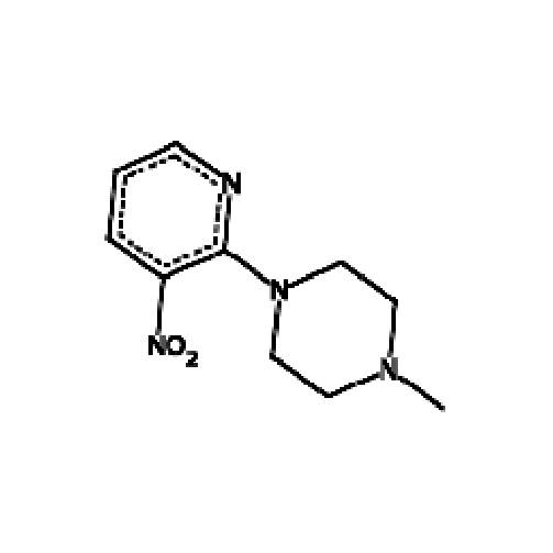 CN1CCN(c2ncccc2[N+](=O)[O-])CC1